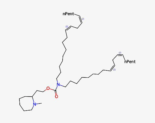 CCCCC/C=C\C/C=C\CCCCCCCCN(CCCCCCCC/C=C\C/C=C\CCCCC)C(=O)OCCC1CCCCCN1C